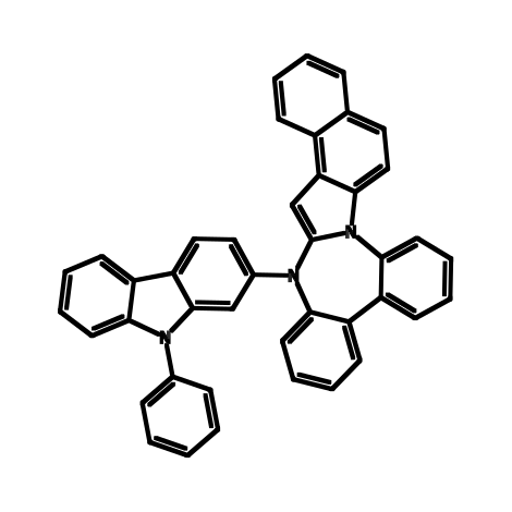 c1ccc(-n2c3ccccc3c3ccc(N4c5ccccc5-c5ccccc5-n5c4cc4c6ccccc6ccc45)cc32)cc1